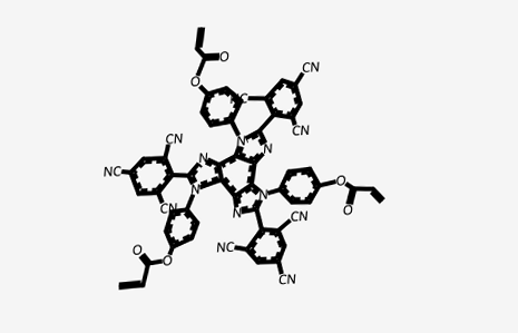 C=CC(=O)Oc1ccc(-n2c(-c3c(C#N)cc(C#N)cc3C#N)nc3c2c2nc(-c4c(C#N)cc(C#N)cc4C#N)n(-c4ccc(OC(=O)C=C)cc4)c2c2nc(-c4c(C#N)cc(C#N)cc4C#N)n(-c4ccc(OC(=O)C=C)cc4)c32)cc1